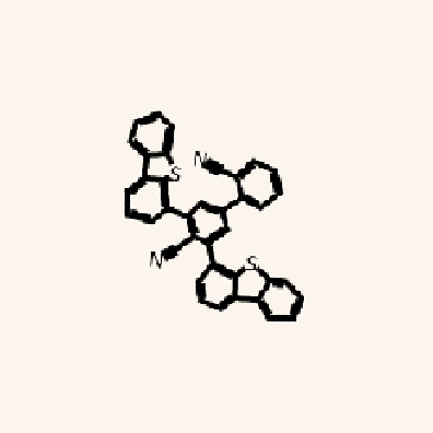 N#Cc1ccccc1-c1cc(-c2cccc3c2sc2ccccc23)c(C#N)c(-c2cccc3c2sc2ccccc23)c1